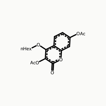 CCCCCCOc1c(OC(C)=O)c(=O)oc2cc(OC(C)=O)ccc12